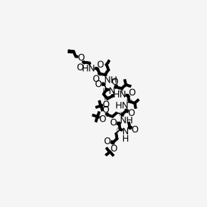 C=CCOC(=O)CNC(=O)C(=O)C(CCC)NC(=O)[C@@H]1C[C@@H](OC(C)(C)C)CN1C(=O)[C@@H](NC(=O)[C@@H](NC(=O)[C@H](CCC(=O)OC(C)(C)C)NC(=O)[C@H](CCC(=O)OC(C)(C)C)NC(C)=O)C(C)C)C(C)C